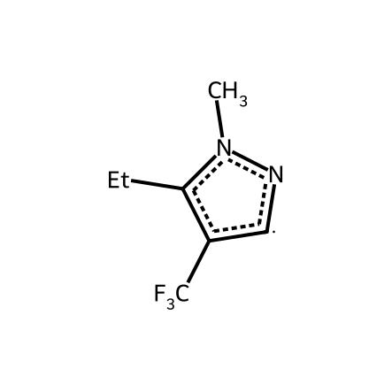 CCc1c(C(F)(F)F)[c]nn1C